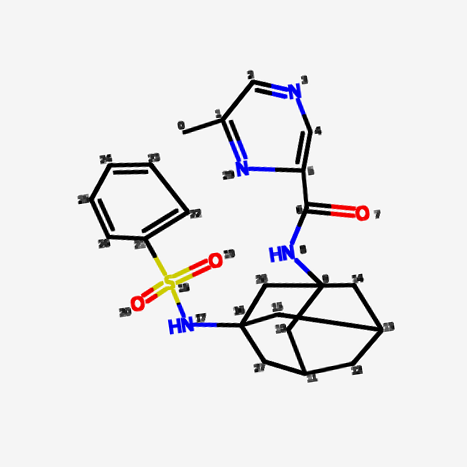 Cc1cncc(C(=O)NC23CC4CC(C2)CC(NS(=O)(=O)c2ccccc2)(C4)C3)n1